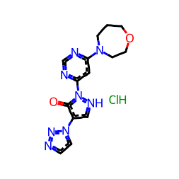 Cl.O=c1c(-n2ccnn2)c[nH]n1-c1cc(N2CCCOCC2)ncn1